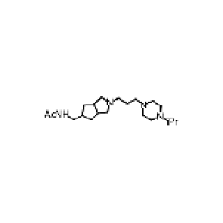 CC(=O)NCC1CC2CN(CCCN3CCN(C(C)C)CC3)CC2C1